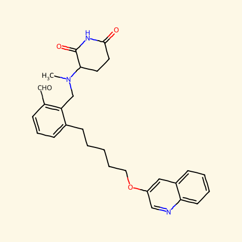 CN(Cc1c(C=O)cccc1CCCCCOc1cnc2ccccc2c1)C1CCC(=O)NC1=O